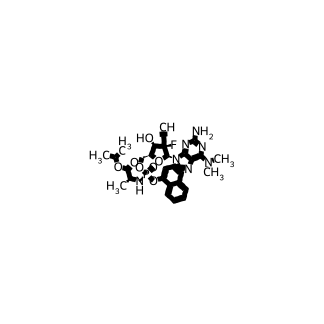 C#C[C@@]1(F)[C@H](O)[C@@H](CO[P@@](=O)(N[C@@H](C)C(=O)OC(C)C)Oc2cccc3ccccc23)O[C@H]1n1cnc2c(N(C)C)nc(N)nc21